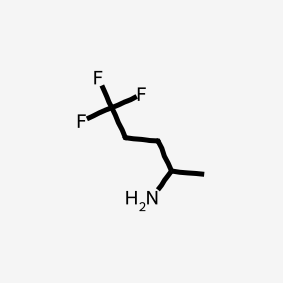 CC(N)CCC(F)(F)F